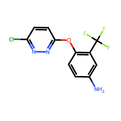 Nc1ccc(Oc2ccc(Cl)nn2)c(C(F)(F)F)c1